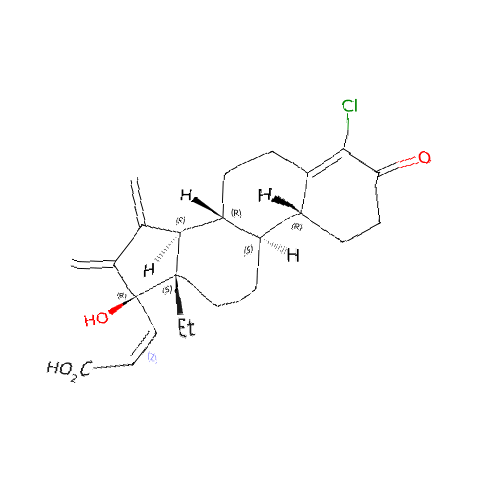 C=C1C(=C)[C@@](O)(/C=C\C(=O)O)[C@@]2(CC)CC[C@H]3[C@@H](CCC4=C(Cl)C(=O)CC[C@@H]43)[C@H]12